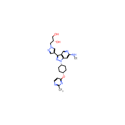 CCNc1cc2c(cn1)c(-c1cnn(C[C@@H](O)CO)c1)nn2[C@H]1CC[C@@H](Oc2ccnc(C(F)(F)F)n2)CC1